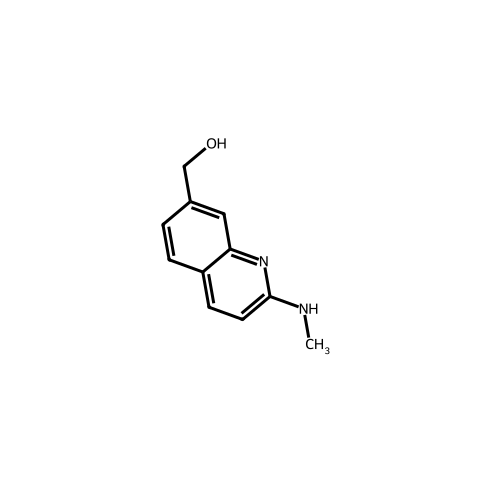 CNc1ccc2ccc(CO)cc2n1